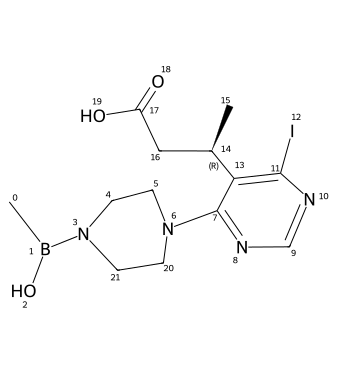 CB(O)N1CCN(c2ncnc(I)c2[C@H](C)CC(=O)O)CC1